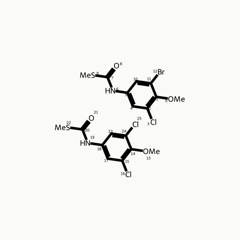 COc1c(Cl)cc(NC(=O)SC)cc1Br.COc1c(Cl)cc(NC(=O)SC)cc1Cl